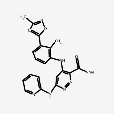 CNC(=O)c1nnc(Nc2ccccn2)cc1Nc1cccc(-c2nc(C)no2)c1C